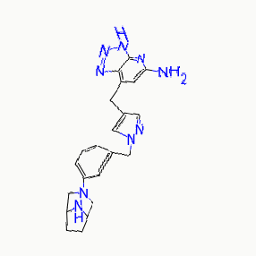 Nc1cc(Cc2cnn(Cc3cccc(N4CC5CCC(C4)N5)c3)c2)c2nn[nH]c2n1